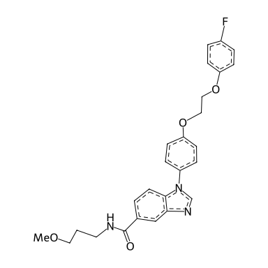 COCCCNC(=O)c1ccc2c(c1)ncn2-c1ccc(OCCOc2ccc(F)cc2)cc1